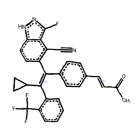 N#Cc1c(/C(=C(/c2ccccc2C(F)(F)F)C2CC2)c2ccc(/C=C/C(=O)O)cc2)ccc2[nH]nc(F)c12